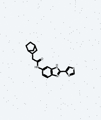 O=C(CC1CC2CCC1C2)Nc1ccc2c(c1)NC(c1cscn1)=[N+]2